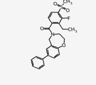 CCc1c(C(=O)N2CCOc3ccc(-c4ccccc4)cc3C2)ccc(S(C)(=O)=O)c1F